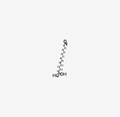 O=NCCCCCCCCCCCCCC(O)O